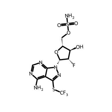 Nc1ncnc2c1c(SC(F)(F)F)nn2[C@@H]1O[C@H](COS(N)(=O)=O)[C@@H](O)[C@@H]1F